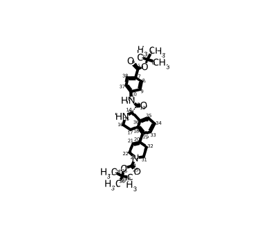 CC(C)(C)OC(=O)c1ccc(NC(=O)[C@H]2NCCc3c(C4=CCN(C(=O)OC(C)(C)C)CC4)cccc32)cc1